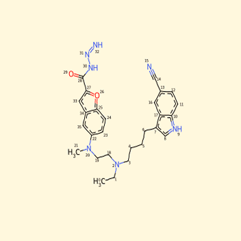 CCN(CCCCc1c[nH]c2ccc(C#N)cc12)CCN(C)c1ccc2oc(C(=O)NN=N)cc2c1